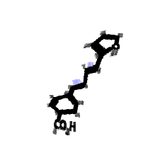 O=C(O)c1ccc(/C=C/C=C/c2ccco2)cc1